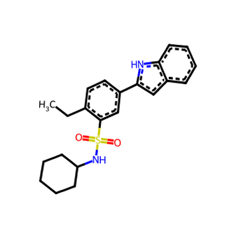 CCc1ccc(-c2cc3ccccc3[nH]2)cc1S(=O)(=O)NC1CCCCC1